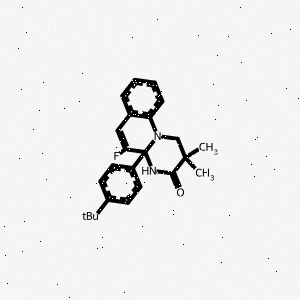 CC1(C)CN2c3ccccc3C=C(F)C2(c2ccc(C(C)(C)C)cc2)NC1=O